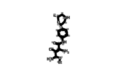 CCOC(N)/C(Cl)=C(\N)C(=O)Nc1ccc([C@H]2CNC[C@@H](C)O2)cc1